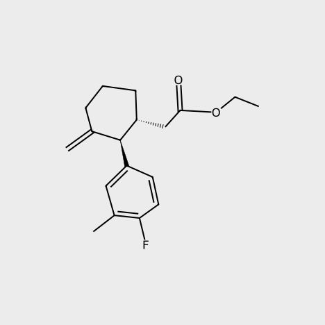 C=C1CCC[C@H](CC(=O)OCC)[C@H]1c1ccc(F)c(C)c1